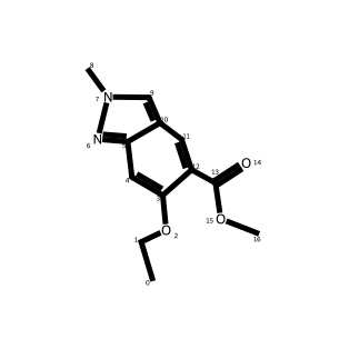 CCOc1cc2nn(C)cc2cc1C(=O)OC